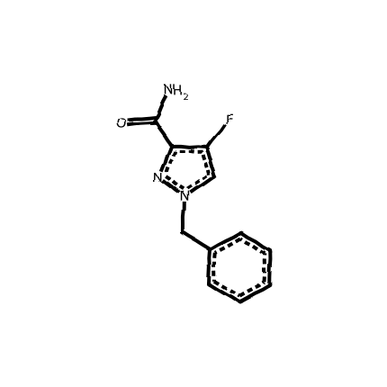 NC(=O)c1nn(Cc2ccccc2)cc1F